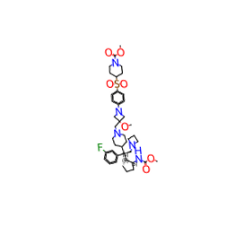 COC(=O)N[C@H]1CCC[C@@H]1[C@](CN1CCC1)(c1cccc(F)c1)C1CCN(CC2(OC)CN(c3ccc(S(=O)(=O)C4CCN(C(=O)OC)CC4)cc3)C2)CC1